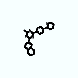 Cc1nc(-c2ccc(-c3ccccn3)cc2)nc(-c2ccc3ccccc3c2)n1